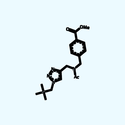 COC(=O)c1ccc(CN(Cc2cn(C[Si](C)(C)C)nn2)C(C)=O)cc1